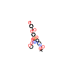 COc1ccc(C(=O)Oc2ccc(S(=O)(=O)C3(C(=O)NOC4CCCCO4)CCC4(CCN(C(=O)OC(C)(C)C)CC4)C3)cc2)cc1